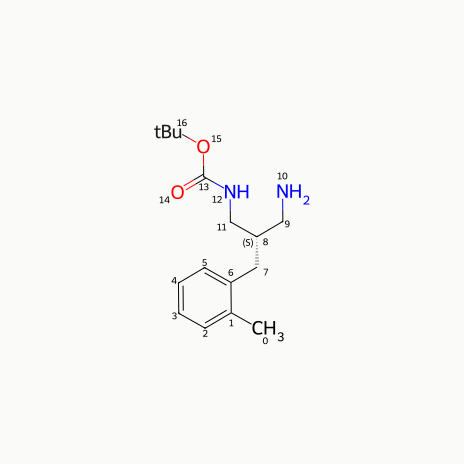 Cc1ccccc1C[C@@H](CN)CNC(=O)OC(C)(C)C